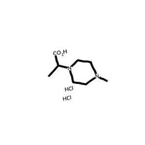 CC(C(=O)O)N1CCN(C)CC1.Cl.Cl